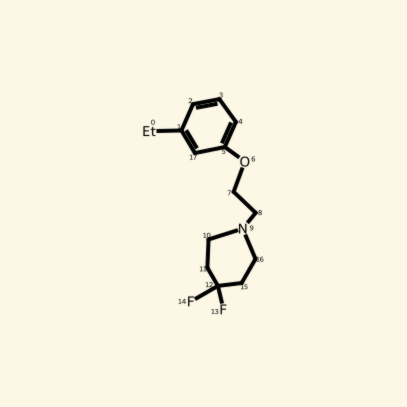 CCc1cccc(OCCN2CCC(F)(F)CC2)c1